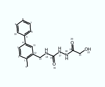 Cc1ccc(-c2ccccc2)cc1CNC(=O)NNC(=O)CO